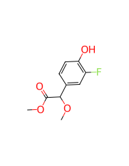 COC(=O)C(OC)c1ccc(O)c(F)c1